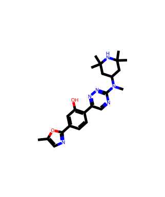 Cc1cnc(-c2ccc(-c3cnc(N(C)C4CC(C)(C)NC(C)(C)C4)nn3)c(O)c2)o1